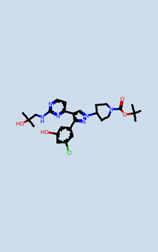 CC(C)(O)CNc1nccc(-c2cn(C3CCN(C(=O)OC(C)(C)C)CC3)nc2-c2cc(O)cc(Cl)c2)n1